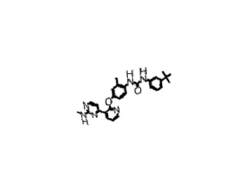 CNc1nccc(-c2cccnc2Oc2ccc(NC(=O)Nc3cccc(C(C)(C)C)c3)c(C)c2)n1